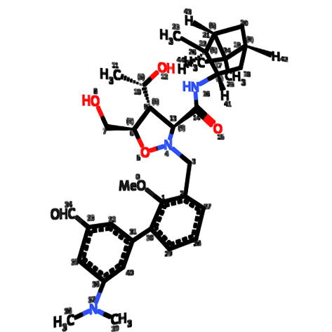 COc1c(CN2O[C@@H](CO)[C@H]([C@H](C)O)[C@H]2C(=O)N[C@H]2C[C@H]3C[C@@H]([C@@H]2C)C3(C)C)cccc1-c1cc(C=O)cc(N(C)C)c1